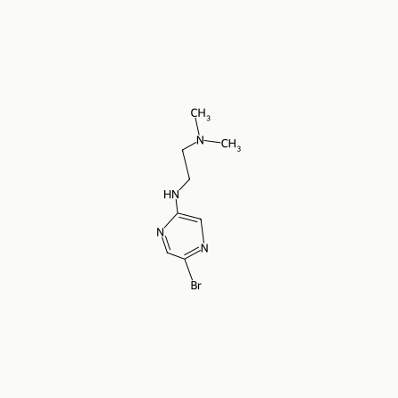 CN(C)CCNc1cnc(Br)cn1